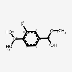 COC(O)c1ccc(B(O)O)c(F)c1